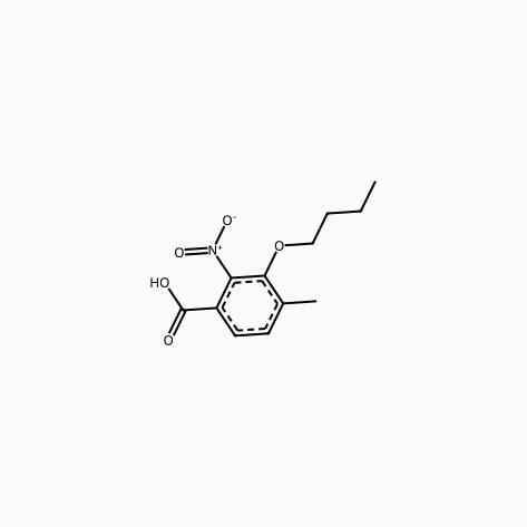 CCCCOc1c(C)ccc(C(=O)O)c1[N+](=O)[O-]